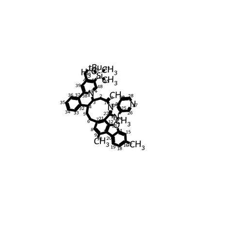 C=C1CC2C(CCc3cc(C)c4c(oc5cc(C)ccc54)c3-c3n(C)c4cnccc4[n+]31)c1ccccc1-c1cc(CC(C)(C)C)c([Si](C)(C)C)c[n+]12